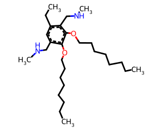 CCCCCCCCOc1c(CNC)cc(CC)c(CNC)c1OCCCCCCCC